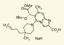 C=CCCC1(C)CCN(c2c([C@H](OC(C)(C)C)C(=O)OC)c(C)cc3nc(C(=O)O)cn23)CC1.[NaH]